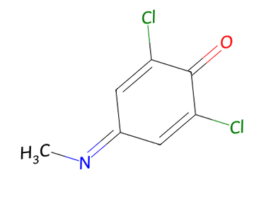 CN=C1C=C(Cl)C(=O)C(Cl)=C1